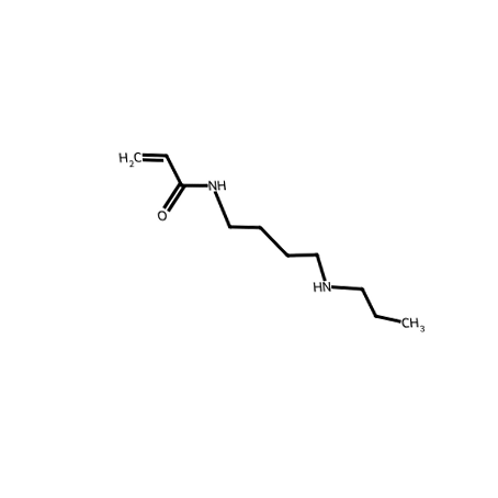 C=CC(=O)NCCCCNCCC